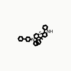 CC1(c2ccccc2)c2ccc3[nH]c4ccccc4c3c2SC2C=Cc3c(c4ccccc4n3-c3ccc(-c4ccccc4)cc3)C21